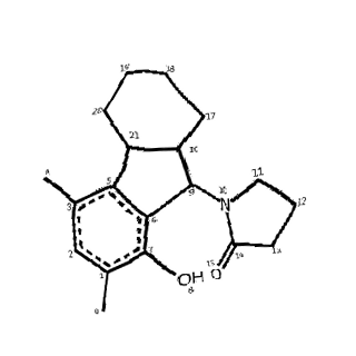 Cc1cc(C)c2c(c1O)C(N1CCCC1=O)C1CCCCC21